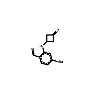 CC(C)(C)c1ccc(C=N)c(NC2CC(=O)C2)c1